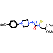 COc1ccc(N2CCN(NC(=O)N(S)CC(OC)OC)CC2)cc1